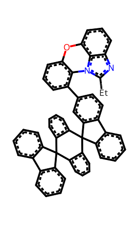 CCc1nc2cccc3c2n1-c1c(cccc1-c1ccc2c(c1)C1(c4ccccc4-2)c2ccccc2C2(c4ccccc4-c4ccccc42)c2ccccc21)O3